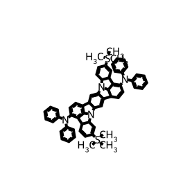 CS(C)(C)C1=CC2C3=C(N(c4ccccc4)c4ccccc4)C=CC4C5=CC6C(C=C5N(C2C=C1)C34)c1ccc(N(c2ccccc2)c2ccccc2)c2c1N6C1C=C(S(C)(C)C)C=CC21